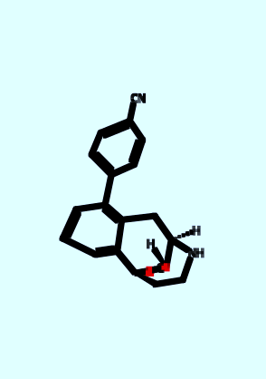 N#Cc1ccc(-c2cccc3c2C[C@H]2NCC[C@@]34CCCC[C@@H]24)cc1